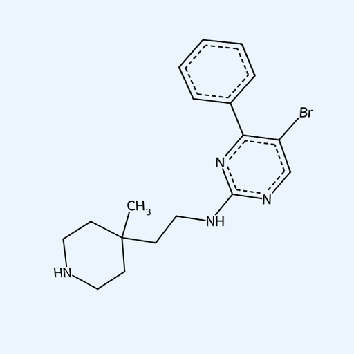 CC1(CCNc2ncc(Br)c(-c3ccccc3)n2)CCNCC1